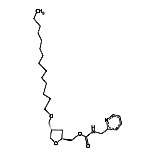 CCCCCCCCCCCCCCOC[C@H]1CO[C@H](COC(=O)NCc2ccccn2)C1